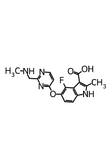 CNCc1nccc(Oc2ccc3[nH]c(C)c(C(=O)O)c3c2F)n1